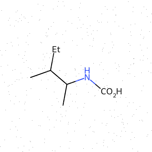 CCC(C)C(C)NC(=O)O